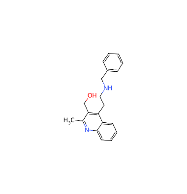 Cc1nc2ccccc2c(CCNCc2ccccc2)c1CO